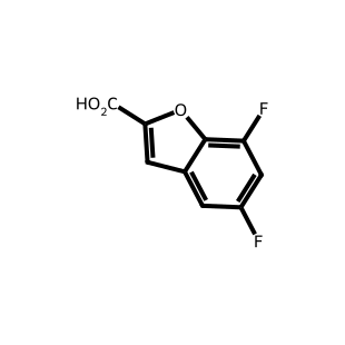 O=C(O)c1cc2cc(F)cc(F)c2o1